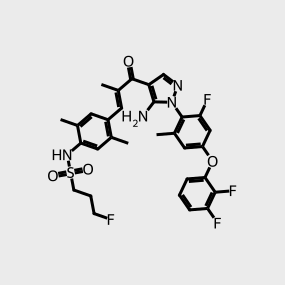 C/C(=C\c1cc(C)c(NS(=O)(=O)CCCF)cc1C)C(=O)c1cnn(-c2c(C)cc(Oc3cccc(F)c3F)cc2F)c1N